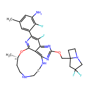 Cc1cc(N)c(F)c(-c2nc3c4c(nc(OCC56CCN5CC(F)(F)C6)nc4c2F)NCCNCC[C@H](C)O3)c1